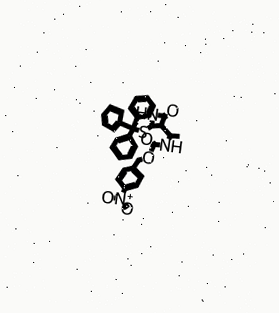 CC(NC(=O)OCc1ccc([N+](=O)[O-])cc1)C1C(=O)NC1SC(c1ccccc1)(c1ccccc1)c1ccccc1